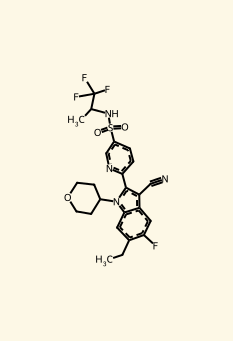 CCc1cc2c(cc1F)c(C#N)c(-c1ccc(S(=O)(=O)NC(C)C(F)(F)F)cn1)n2C1CCOCC1